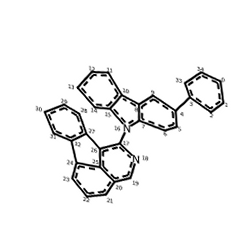 c1ccc(-c2ccc3c(c2)c2ccccc2n3-c2ncc3cccc4c3c2-c2ccccc2-4)cc1